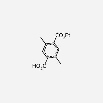 CCOC(=O)c1cc(C)c(C(=O)O)cc1C